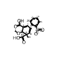 COC1C(C(=O)O)=CC=CC1(C)C(=O)O.O=[N+]([O-])c1ccccc1